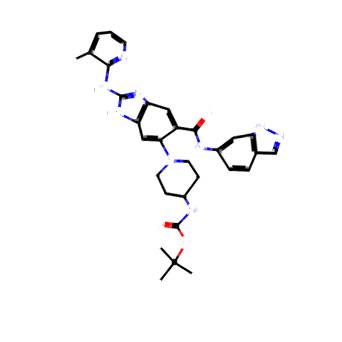 Cc1cccnc1Nc1nc2cc(C(=O)Nc3ccc4cn[nH]c4c3)c(N3CCC(NC(=O)OC(C)(C)C)CC3)cc2[nH]1